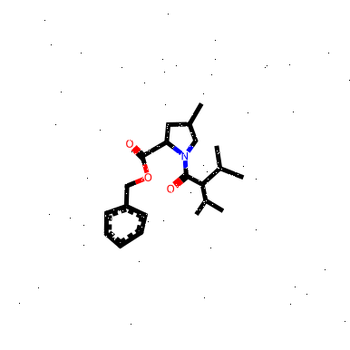 CC1CC(C(=O)OCc2ccccc2)N(C(=O)C(C(C)C)C(C)C)C1